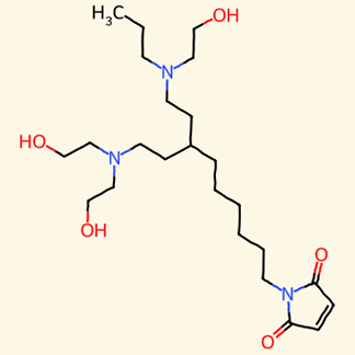 CCCN(CCO)CCC(CCCCCCN1C(=O)C=CC1=O)CCN(CCO)CCO